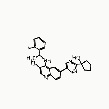 CC(Nc1c(Cl)cnc2ccc(-c3cnc(C4(O)CCCC4)nc3)cc12)c1ccccc1F